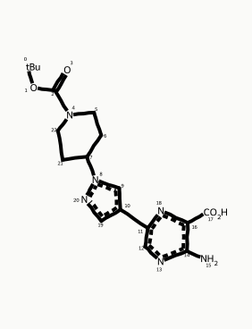 CC(C)(C)OC(=O)N1CCC(n2cc(-c3cnc(N)c(C(=O)O)n3)cn2)CC1